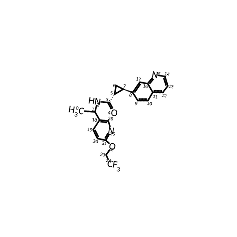 CC(NC(=O)[C@@H]1C[C@H]1c1ccc2cccnc2c1)c1ccc(OCC(F)(F)F)nc1